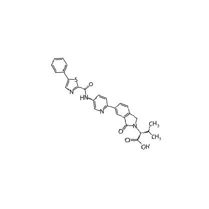 CC(C)[C@@H](C(=O)O)N1Cc2ccc(-c3ccc(NC(=O)c4ncc(-c5ccccc5)s4)cn3)cc2C1=O